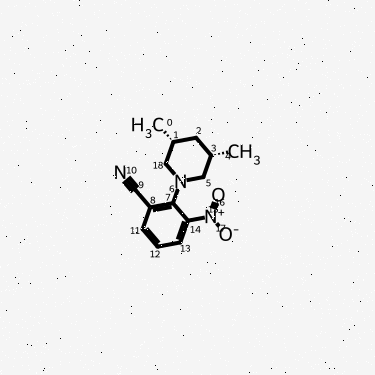 C[C@@H]1C[C@H](C)CN(c2c(C#N)cccc2[N+](=O)[O-])C1